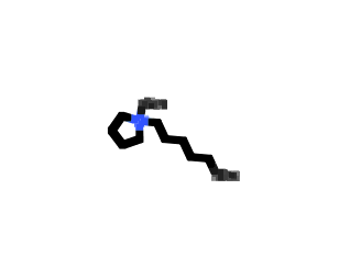 CCCCCCCCCCCCCCC[N+]1(CCCCCCCCC)CCCC1